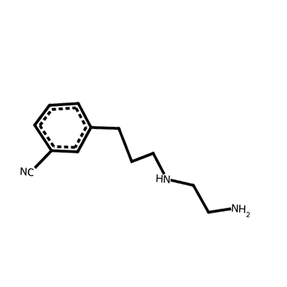 N#Cc1cccc(CCCNCCN)c1